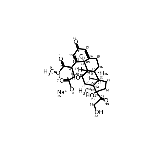 COC(=O)C(CC(=O)[O-])C1=CC(=O)C=C2CC[C@@H]3[C@H]([C@@H](O)C[C@@]4(C)[C@H]3CC[C@]4(O)C(=O)CO)[C@]21C.[Na+]